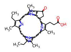 CCC1=C(C)c2cc3[nH]c(cc4nc(c5c6[nH]c(cc1n2)c(C)c6C(=O)C5)C(CCC(=O)O)=C4C)c(C)c3CC